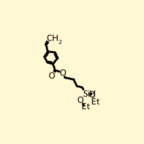 C=Cc1ccc(C(=O)OCCCC[SiH](OCC)OCC)cc1